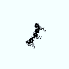 C=C(c1ccc(-c2ccc(CCC3CCN(CC(C)(C)F)CC3)c(C#N)c2)cc1)N1CCCCC1